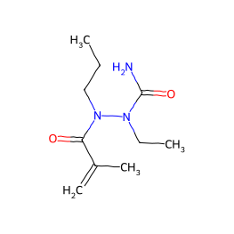 C=C(C)C(=O)N(CCC)N(CC)C(N)=O